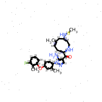 CSN/C1=C/CN/C(C(=O)c2cnn(-c3ccc(Oc4cccc(F)c4C)cc3C)c2N)=C\C/C=C(/C)C1